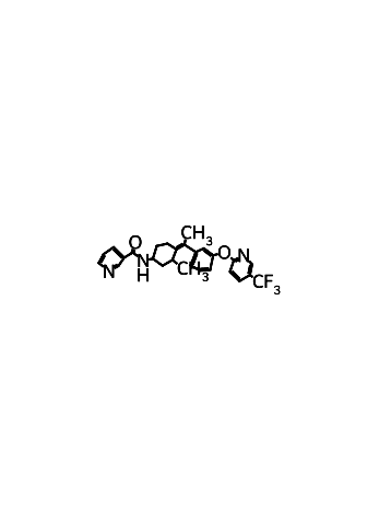 C/C(=C1\CCC(NC(=O)c2cccnc2)CC1C)c1cccc(Oc2ccc(C(F)(F)F)cn2)c1